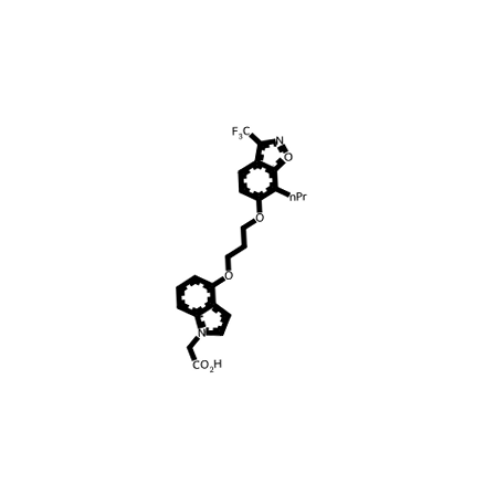 CCCc1c(OCCCOc2cccc3c2ccn3CC(=O)O)ccc2c(C(F)(F)F)noc12